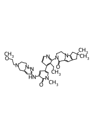 CCc1c(-c2cc(Nc3cc4n(n3)CCN(CCOC)C4)c(=O)n(C)c2)ccnc1N1CCn2c(cc3c2CC(C)(C)C3)C1=O